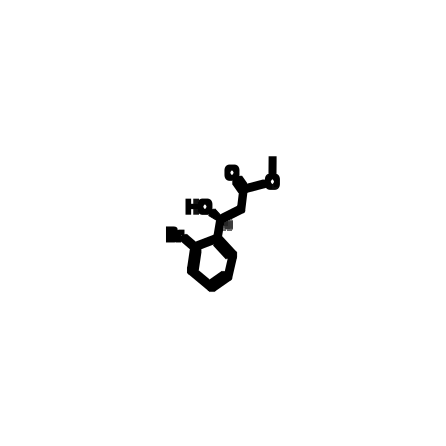 COC(=O)C[C@H](O)c1ccccc1Br